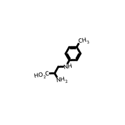 Cc1ccc(NCC(N)C(=O)O)cc1